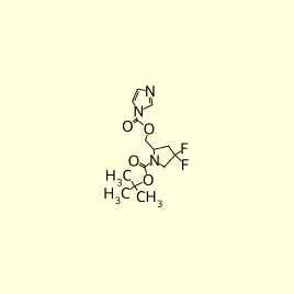 CC(C)(C)OC(=O)N1CC(F)(F)CC1COC(=O)n1ccnc1